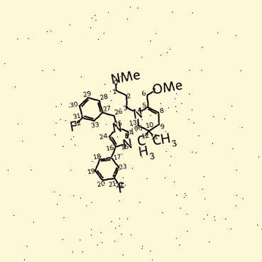 CNCCCN1C(COC)=CCC(C)(C)[C@@H]1c1nc(-c2cccc(F)c2)cn1Cc1cccc(F)c1